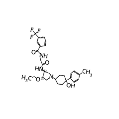 CCO[C@H]1CN(C2CCC(O)(c3ccc(C)cc3)CC2)C[C@@H]1NC(=O)CNC(=O)c1cccc(C(F)(F)F)c1